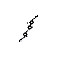 C/C=C/CCc1ccc(-c2ccc(OCc3ccc(CC/C=C/C)c(F)c3)cc2F)c(F)c1